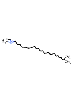 CCNCCCCCCCCCCCCCCCCCCCCC(C)C